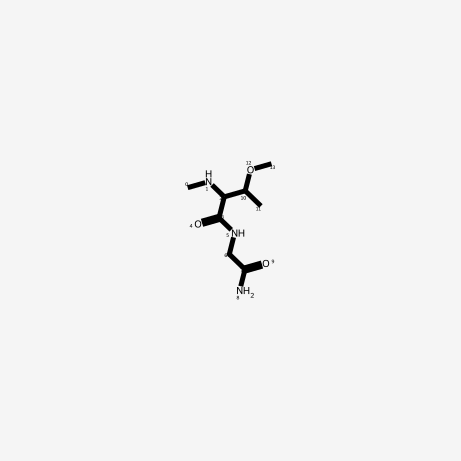 CNC(C(=O)NCC(N)=O)C(C)OC